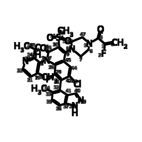 C=C(F)C(=O)N1CCN(c2c(S(C)(=O)=O)c(=O)n(-c3c(C)ccnc3C(C)C)c3c(F)c(-c4c(C)ccc5[nH]ncc45)c(Cl)cc23)CC1